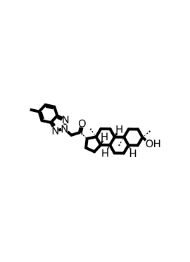 Cc1ccc2nn(CC(=O)[C@H]3CC[C@H]4[C@@H]5CC[C@@H]6C[C@](C)(O)CC[C@]6(C)[C@H]5CC[C@]34C)nc2c1